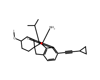 CC(C)N1C(=O)C2(N=C1N)c1cc(C#CC3CC3)ccc1CC21CCC(OI)CC1